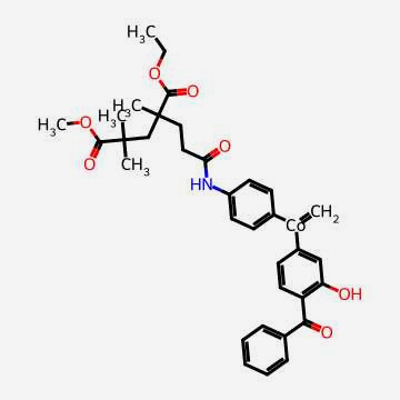 [CH2]=[Co]([c]1ccc(NC(=O)CCC(C)(CC(C)(C)C(=O)OC)C(=O)OCC)cc1)[c]1ccc(C(=O)c2ccccc2)c(O)c1